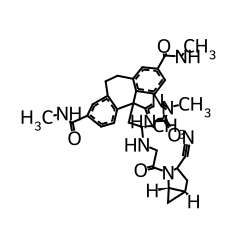 CNC(=O)c1ccc2c(c1)CCc1cc(C(=O)NC)ccc1C2(C[C@@H](C)NCC(=O)N1C(C#N)C[C@@H]2C[C@@H]21)c1nn(C)c(=O)[nH]1